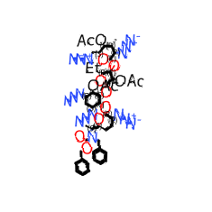 CC[C@H]1O[C@@H](O[C@@H]2[C@@H](OC(C)=O)[C@H](N=[N+]=[N-])C[C@H](N=[N+]=[N-])[C@H]2O[C@H]2O[C@H]([C@H](C)N(Cc3ccccc3)C(=O)OCc3ccccc3)CC[C@H]2N=[N+]=[N-])[C@H](OC(C)=O)[C@@H]1O[C@H]1O[C@@H](CN=[N+]=[N-])[C@@H](OC(C)=O)[C@H](C)[C@H]1N=[N+]=[N-]